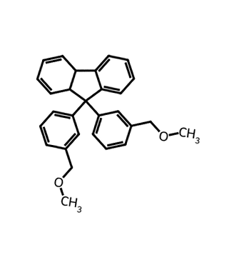 COCc1cccc(C2(c3cccc(COC)c3)c3ccccc3C3C=CC=CC32)c1